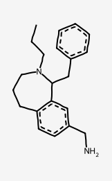 CCCN1CCCc2ccc(CN)cc2C1Cc1ccccc1